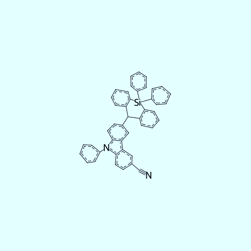 N#Cc1ccc2c(c1)c1cc(C3c4ccccc4[Si](c4ccccc4)(c4ccccc4)c4ccccc43)ccc1n2-c1ccccc1